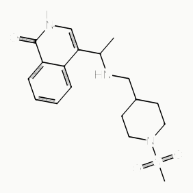 CC(NCC1CCN(S(C)(=O)=O)CC1)c1c[nH]c(=O)c2ccccc12